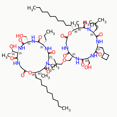 CCCCCCCCCC[C@H]1OC(=O)CNC(=O)[C@H](COCC(C)C[C@H]2C(=O)N[C@@H](CCC)C(=O)N[C@@H](CO)C(=O)N[C@@H]([C@H](C)O)C(=O)NCC(=O)O[C@H](CCCCCCCCCC)[C@@H](C)C(=O)N2C)NC(=O)[C@H](CO)NC(=O)[C@H](CC2CCC2)NC(=O)[C@H](CC(C)C)N(C)C(=O)[C@@H]1C